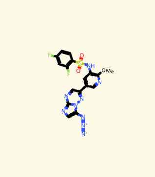 COc1ncc(-c2cnc3ncc(N=[N+]=[N-])n3n2)cc1NS(=O)(=O)c1ccc(F)cc1F